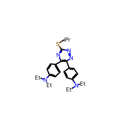 CCN(CC)c1ccc(-c2nnc(SC(C)C)nc2-c2ccc(N(CC)CC)cc2)cc1